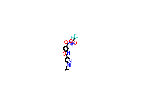 CC(C)CNc1ccc(-c2nc3cc(C(=O)NOC(=O)C(F)(F)F)ccc3o2)cn1